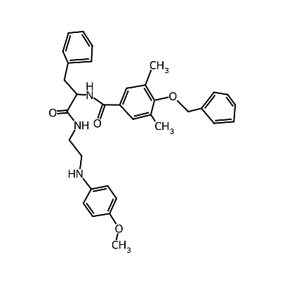 COc1ccc(NCCNC(=O)C(Cc2ccccc2)NC(=O)c2cc(C)c(OCc3ccccc3)c(C)c2)cc1